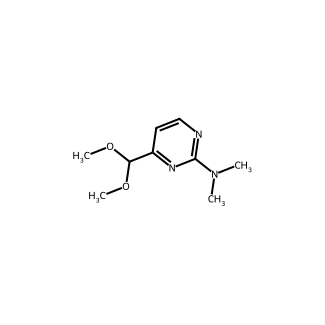 COC(OC)c1ccnc(N(C)C)n1